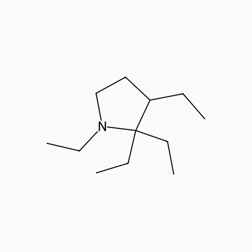 CCC1CCN(CC)C1(CC)CC